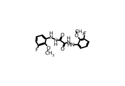 COc1c(F)cccc1NNC(=O)C(=O)NNc1cccc(F)c1OC